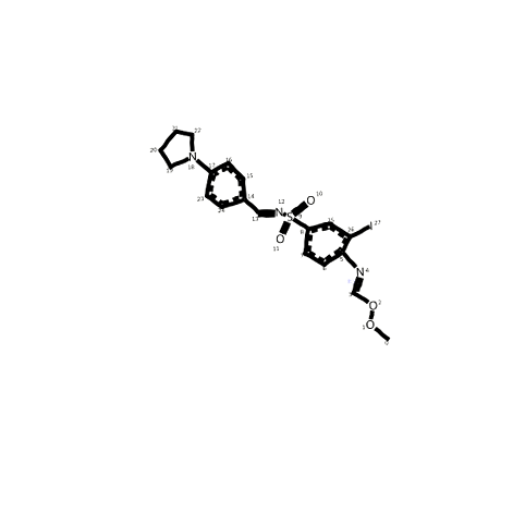 COO/C=N/c1ccc(S(=O)(=O)N=Cc2ccc(N3CCCC3)cc2)cc1I